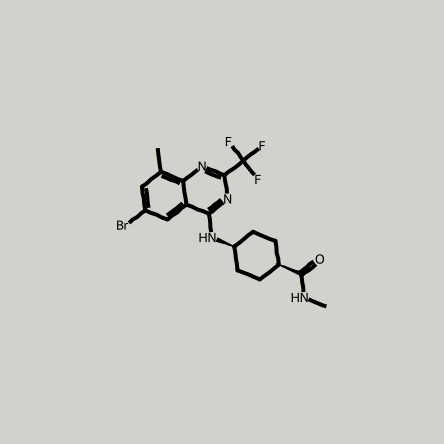 CNC(=O)[C@H]1CC[C@@H](Nc2nc(C(F)(F)F)nc3c(C)cc(Br)cc23)CC1